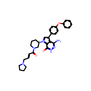 Nc1n[nH]c(=O)c2c1c(-c1ccc(Oc3ccccc3)cc1)cn2[C@@H]1CCCN(C(=O)C=CCN2CCCC2)C1